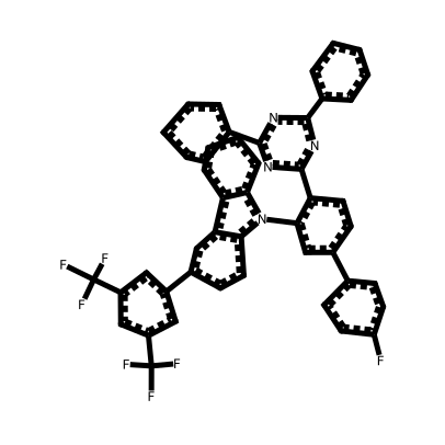 Fc1ccc(-c2ccc(-c3nc(-c4ccccc4)nc(-c4ccccc4)n3)c(-n3c4ccccc4c4cc(-c5cc(C(F)(F)F)cc(C(F)(F)F)c5)ccc43)c2)cc1